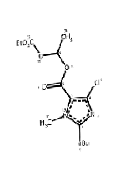 CCCCc1nc(Cl)c(C(=O)OC(C)OC(=O)OCC)n1C